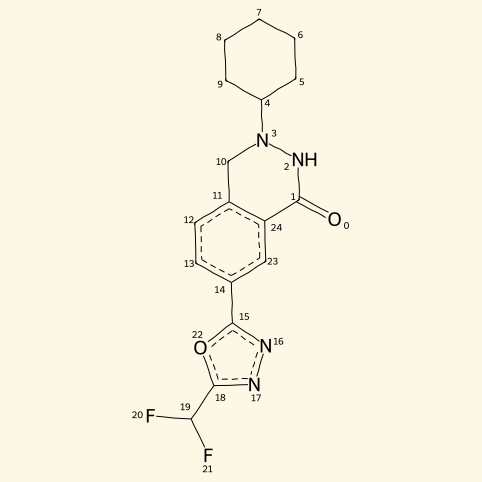 O=C1NN(C2CCCCC2)Cc2ccc(-c3nnc(C(F)F)o3)cc21